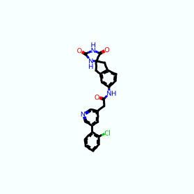 O=C(Cc1cncc(-c2ccccc2Cl)c1)Nc1ccc2c(c1)CC1(C2)NC(=O)NC1=O